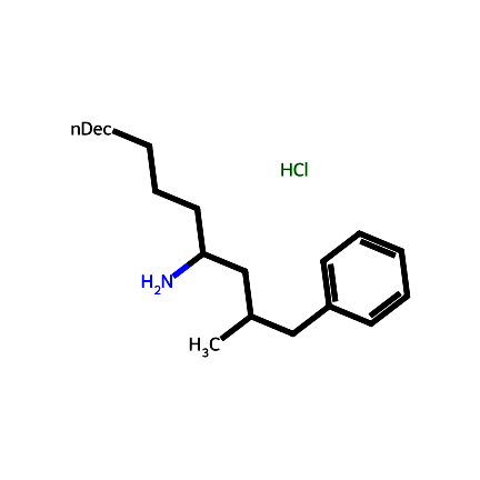 CCCCCCCCCCCCCC(N)CC(C)Cc1ccccc1.Cl